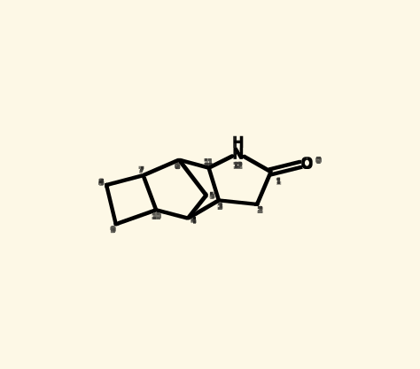 O=C1CC2C3CC(C4CCC34)C2N1